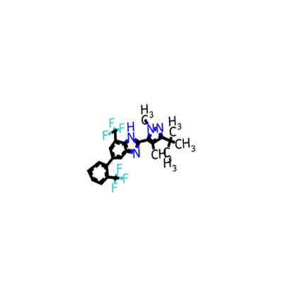 Cc1c(C(C)(C)C)nn(C)c1-c1nc2cc(-c3ccccc3C(F)(F)F)cc(C(F)(F)F)c2[nH]1